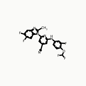 Cc1nc2cc(F)c(F)cc2n1-c1cc(C#N)cc(Nc2ccc(OC(F)F)c(F)c2)n1